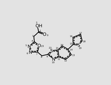 O=C(O)Cc1nnc(Cc2nc3ccc(-c4cccs4)cc3s2)o1